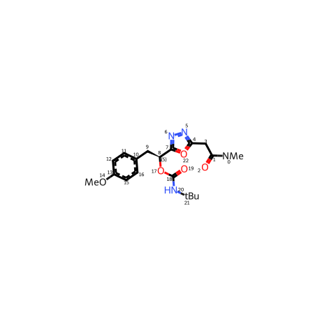 CNC(=O)Cc1nnc([C@H](Cc2ccc(OC)cc2)OC(=O)NC(C)(C)C)o1